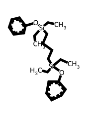 CC[Si](CC)(CCCC[Si](CC)(CC)Oc1ccccc1)Oc1ccccc1